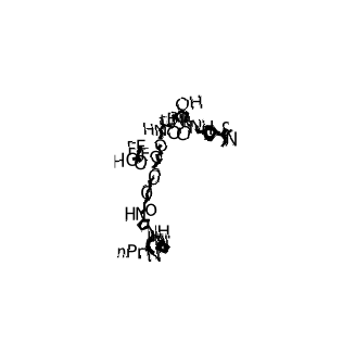 CCCc1cc(N[C@@H]2CC[C@@H](NC(=O)CCOCCOCCOCCOCCN[C@H](C(=O)N3C[C@H](O)C[C@H]3C(=O)NCc3ccc(-c4scnc4C)cc3)C(C)(C)C)C2)n2nccc2n1.O=C(O)C(F)(F)F